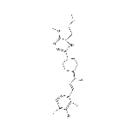 COC(=O)C(CCSC)NC(=O)C1CCN(C(=O)C=Cc2ccc(SC)c(Cl)c2Cl)CC1